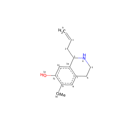 C=CCC1NCCc2cc(OC)c(O)cc21